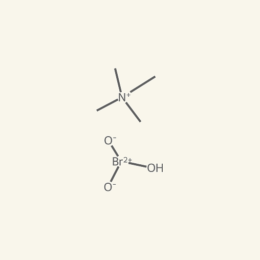 C[N+](C)(C)C.[O-][Br+2]([O-])O